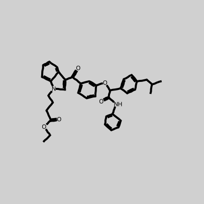 CCOC(=O)CCCn1cc(C(=O)c2cccc(OC(C(=O)Nc3ccccc3)c3ccc(CC(C)C)cc3)c2)c2ccccc21